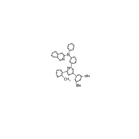 Cc1ccccc1-c1cc(-c2cc(C(C)(C)C)cc(C(C)(C)C)c2)cc(-c2cccc(N(c3ccccc3)c3cc4ccccc4cn3)c2)n1